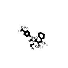 COC(=O)c1ccc(NC(=O)N(C(=O)C(S)C(C)C2CCCCC2)[C@@H](CC(C)C)C(=O)O)cc1